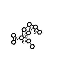 c1ccc(-c2ccc3c(c2)Oc2cc(-n4c5ccccc5c5ccccc54)cc4c2B3c2ccc(-n3c5c(-c6ccccc6)cccc5c5ccc6c7ccccc7sc6c53)cc2O4)cc1